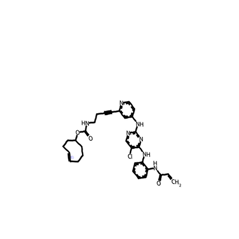 C=CC(=O)Nc1ccccc1Nc1nc(Nc2ccnc(C#CCCNC(=O)OC3CC/C=C/CCC3)c2)ncc1Cl